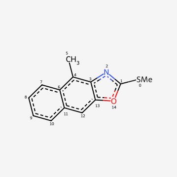 CSc1nc2c(C)c3ccccc3cc2o1